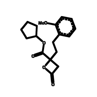 COc1ccccc1CCC1(C(=O)OC2CCCC2)CC(=O)O1